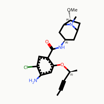 CC#C[C@H](C)Oc1cc(N)c(Cl)cc1C(=O)N[C@@H]1CC2C[C@@H](OC)C(C1)N2C